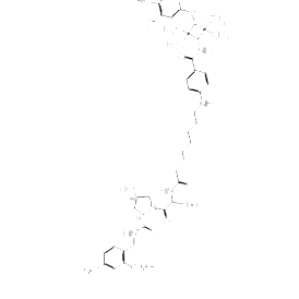 COc1cc(C#N)ccc1CNC(=O)[C@@H]1C[C@@H](O)CN1C(=O)C(NC(=O)COCCCCCNc1ccc(C(=O)N[C@H]2C(C)(C)[C@H](Oc3ccc(C#N)c(Cl)c3)C2(C)C)cc1)C(C)(C)C